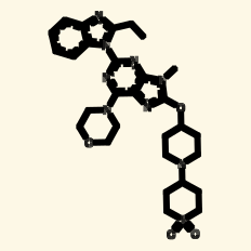 CCc1nc2ccccc2n1-c1nc(N2CCOCC2)c2nc(OC3CCN(C4CCS(=O)(=O)CC4)CC3)n(C)c2n1